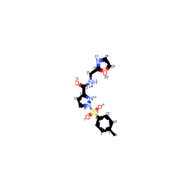 Cc1ccc(S(=O)(=O)n2ccc(C(=O)NCc3ncco3)n2)cc1